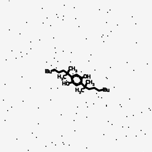 CCC(C)CCCC(C)(C)c1cc(O)c(C(C)(C)CCCC(C)CC)cc1O